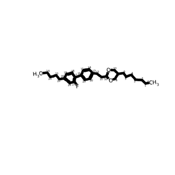 CCCCCCCC1COC(CCc2ccc(-c3ccc(CCCCC)cc3F)cc2)OC1